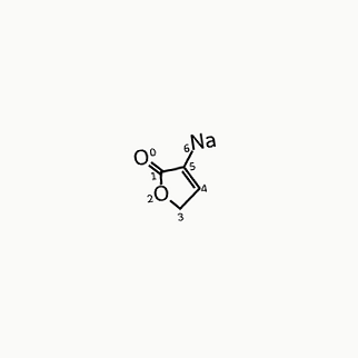 O=C1OCC=[C]1[Na]